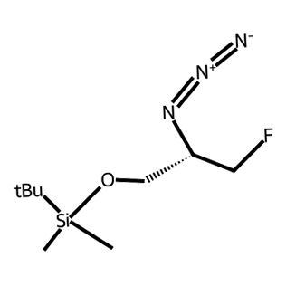 CC(C)(C)[Si](C)(C)OC[C@@H](CF)N=[N+]=[N-]